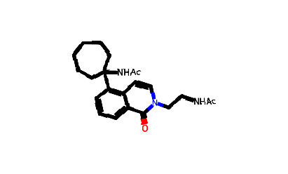 CC(=O)NCCn1ccc2c(C3(NC(C)=O)CCCCCC3)cccc2c1=O